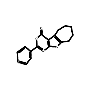 O=c1oc(-c2ccncc2)nc2sc3c(c12)CCCCC3